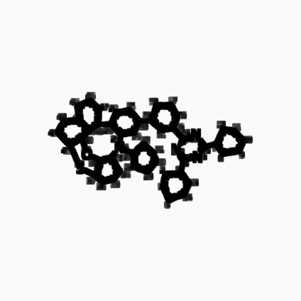 c1ccc(-c2nc(-c3ccccc3)nc(-c3cccc(-c4ccc5c(c4)N(c4ccccc4)c4cccc6c4Oc4c(ccc7cccc-5c47)S6)c3)n2)cc1